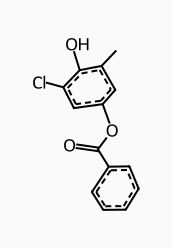 Cc1cc(OC(=O)c2ccccc2)cc(Cl)c1O